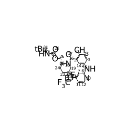 Cc1ccc(Nc2cc(OC(F)(F)F)ccn2)cc1C(=O)N1CC(F)(F)CC[C@@H]1COC(=O)NC(C)(C)C